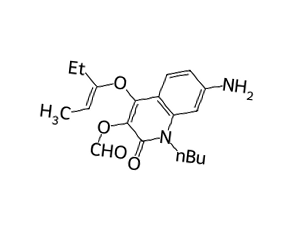 CC=C(CC)Oc1c(OC=O)c(=O)n(CCCC)c2cc(N)ccc12